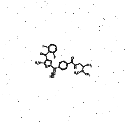 CC(CNC(=O)c1ccc(Nc2nc(N)c(C(=O)c3c(F)cccc3F)s2)cc1)N(C)C.Cl.Cl